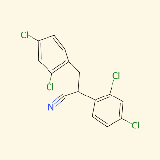 N#CC(Cc1ccc(Cl)cc1Cl)c1ccc(Cl)cc1Cl